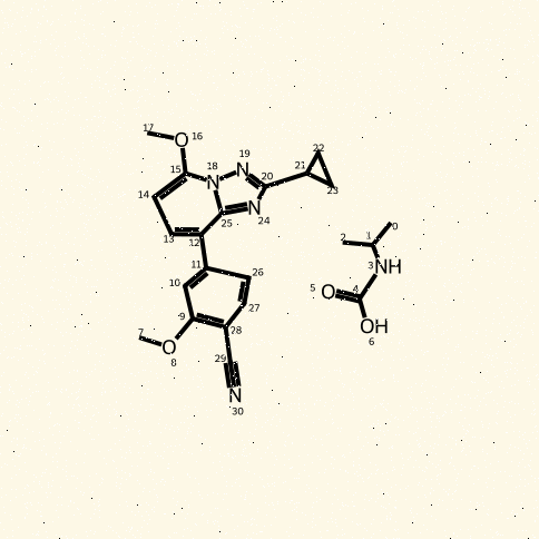 CC(C)NC(=O)O.COc1cc(-c2ccc(OC)n3nc(C4CC4)nc23)ccc1C#N